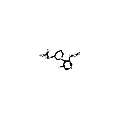 O=C(O)NC1CCCN(c2c(F)cncc2N=C=S)C1